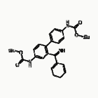 CC(C)(C)OC(=O)Nc1ccc(-c2ccc(NC(=O)OC(C)(C)C)cc2C(=N)C2=CCCC=C2)cc1